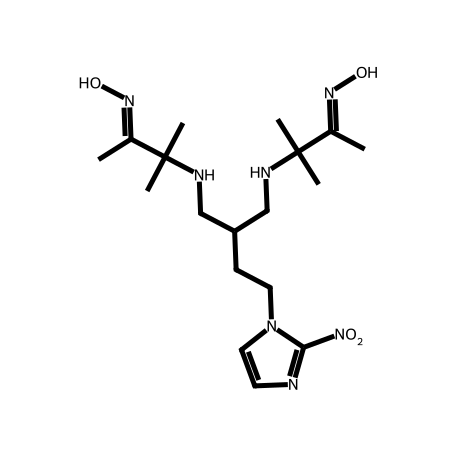 CC(=NO)C(C)(C)NCC(CCn1ccnc1[N+](=O)[O-])CNC(C)(C)C(C)=NO